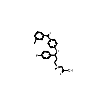 Cc1cccc(C(=O)c2ccc(OC(CCN(C)CC(=O)O)c3ccc(F)cc3)cc2)c1